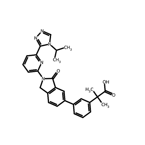 CC(C)n1cnnc1-c1cccc(N2Cc3ccc(-c4cccc(C(C)(C)C(=O)O)c4)cc3C2=O)n1